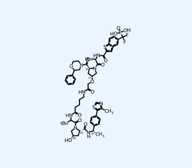 Cc1ncsc1-c1ccc([C@H](C)NC(=O)[C@@H]2C[C@@H](O)CN2C(=O)C(NC(=O)CCCCNC(=O)CO[C@H]2C[C@@H](C(=O)N3CCOC(c4ccccc4)C3)N(C(=O)C(NC(=O)c3cc4cc(C(F)(F)P(=O)(O)O)ccc4s3)C(C)(C)C)C2)C(C)(C)C)cc1